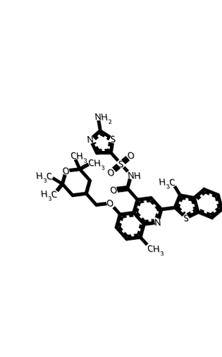 Cc1c(-c2cc(C(=O)NS(=O)(=O)c3cnc(N)s3)c3c(OCC4CC(C)(C)OC(C)(C)C4)ccc(C)c3n2)sc2ccccc12